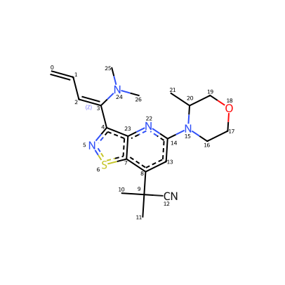 C=C/C=C(/c1nsc2c(C(C)(C)C#N)cc(N3CCOCC3C)nc12)N(C)C